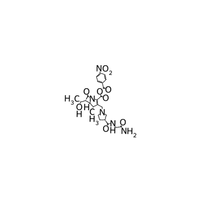 C[C@@H](O)[C@H]1C(=O)N2C(C(=O)OC(=O)c3ccc([N+](=O)[O-])cc3)=C(CN3CC[C@H](C(=O)NCC(N)=O)C3)[C@H](C)[C@H]12